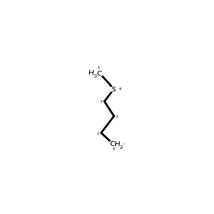 [CH2]CC[CH]SC